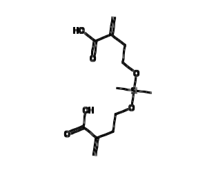 C=C(CCO[Si](C)(C)OCCC(=C)C(=O)O)C(=O)O